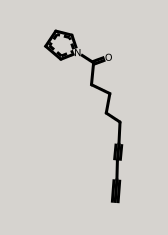 C#CC#CCCCCC(=O)n1cccc1